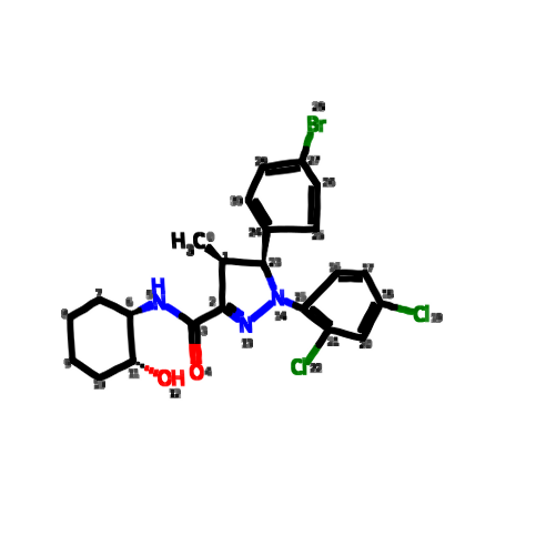 C[C@@H]1C(C(=O)N[C@@H]2CCCC[C@H]2O)=NN(c2ccc(Cl)cc2Cl)[C@@H]1c1ccc(Br)cc1